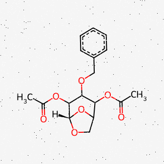 CC(=O)OC1C2CO[C@@H](O2)C(OC(C)=O)C1OCc1ccccc1